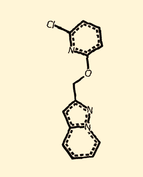 Clc1cccc(OCc2cc3ccccn3n2)n1